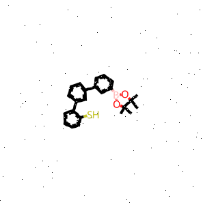 CC1(C)OB(c2cccc(-c3cccc(-c4ccccc4S)c3)c2)OC1(C)C